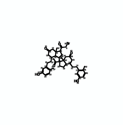 CC(=O)C1(C2CC(C(=O)CBr)C3(C)CC(=O)CC(CCc4cc(O)ccc4C)C23)CCC2C(CCc3cc(O)ccc3C)CC(=O)CC21C